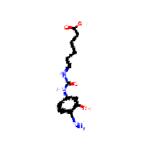 Nc1ccc(NC(=O)NCCCCCC(=O)O)cc1O